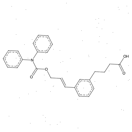 O=C(O)CCCc1cccc(C=CCOC(=O)N(c2ccccc2)c2ccccc2)c1